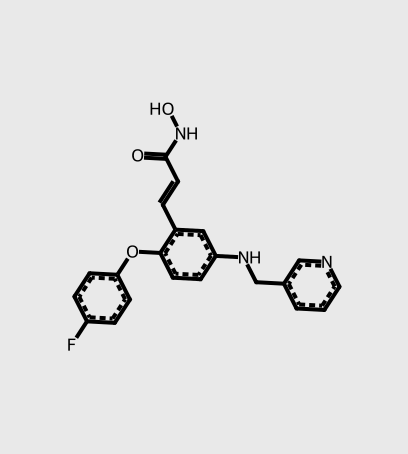 O=C(C=Cc1cc(NCc2cccnc2)ccc1Oc1ccc(F)cc1)NO